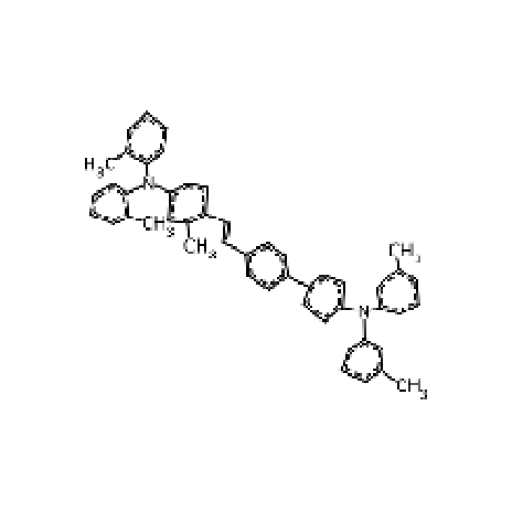 Cc1cccc(N(c2ccc(-c3ccc(C=Cc4ccc(N(c5ccccc5C)c5ccccc5C)cc4C)cc3)cc2)c2cccc(C)c2)c1